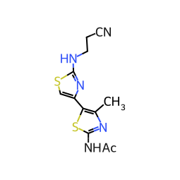 CC(=O)Nc1nc(C)c(-c2csc(NCCC#N)n2)s1